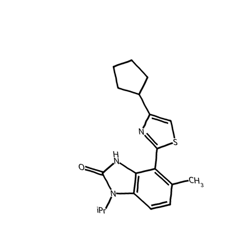 Cc1ccc2c([nH]c(=O)n2C(C)C)c1-c1nc(C2CCCC2)cs1